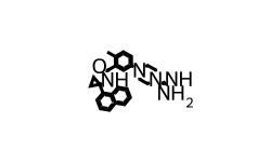 Cc1ccc(N2CCN(C(=N)N)CC2)cc1C(=O)NC1(c2cccc3ccccc23)CC1